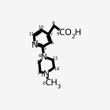 CN1CCN(c2cc(CC(=O)O)ccn2)CC1